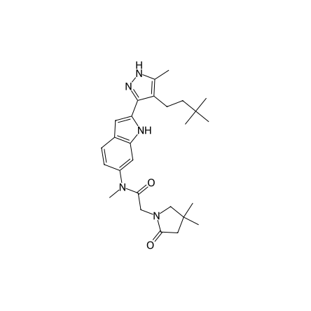 Cc1[nH]nc(-c2cc3ccc(N(C)C(=O)CN4CC(C)(C)CC4=O)cc3[nH]2)c1CCC(C)(C)C